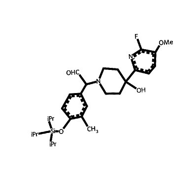 COc1ccc(C2(O)CCN(C(C=O)c3ccc(O[Si](C(C)C)(C(C)C)C(C)C)c(C)c3)CC2)nc1F